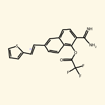 N=C(N)c1ccc2cc(/C=C/c3cccs3)ccc2c1OC(=O)C(F)(F)F